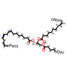 CCCCC/C=C\C/C=C\C/C=C\CCCCCCC(=O)OC[C@@H](COC(=O)CCCCCCCCCCCCC)OC(=O)CCCCCCC/C=C\CCCCCCCCC